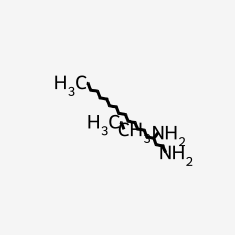 CCC.CCCCCCCCCCCCCCCC(N)CCN